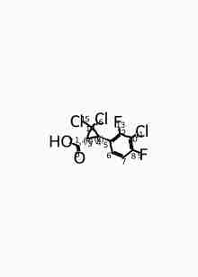 O=C(O)[C@H]1[C@H](c2ccc(F)c(Cl)c2F)C1(Cl)Cl